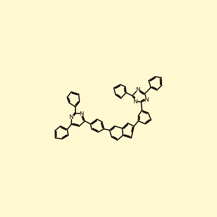 c1ccc(-c2cc(-c3ccc(-c4ccc5ccc(-c6cccc(-c7nc(-c8ccccc8)nc(-c8ccccc8)n7)c6)cc5c4)cc3)nc(-c3ccccc3)n2)cc1